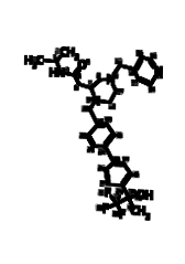 CC(C)NC(=O)CC1CN(Cc2ccncc2)CCN1Cc1ccc(-c2ccc(C(C)(O)C(F)(F)F)cc2)cc1